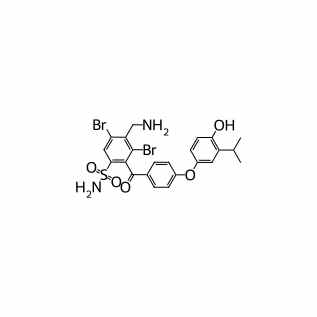 CC(C)c1cc(Oc2ccc(C(=O)c3c(S(N)(=O)=O)cc(Br)c(CN)c3Br)cc2)ccc1O